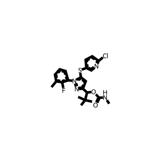 CNC(=O)OC(c1cc(Sc2ccc(Cl)nc2)n(-c2cccc(C)c2F)n1)C(C)(C)C